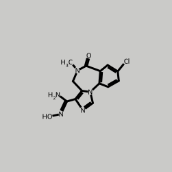 CN1Cc2c(/C(N)=N/O)ncn2-c2ccc(Cl)cc2C1=O